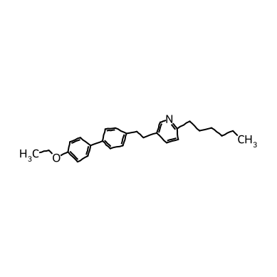 CCCCCCc1ccc(CCc2ccc(-c3ccc(OCC)cc3)cc2)cn1